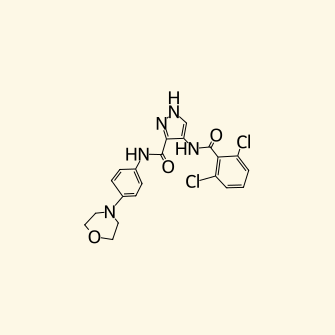 O=C(Nc1ccc(N2CCOCC2)cc1)c1n[nH]cc1NC(=O)c1c(Cl)cccc1Cl